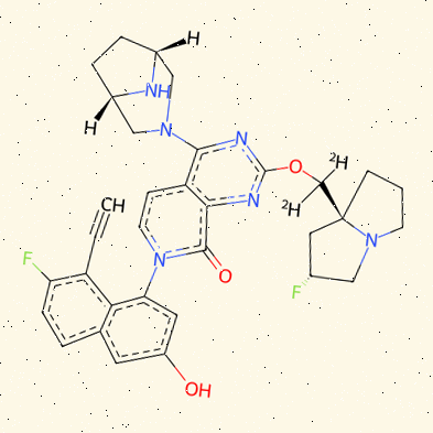 [2H]C([2H])(Oc1nc(N2C[C@H]3CC[C@@H](C2)N3)c2ccn(-c3cc(O)cc4ccc(F)c(C#C)c34)c(=O)c2n1)[C@@]12CCCN1C[C@H](F)C2